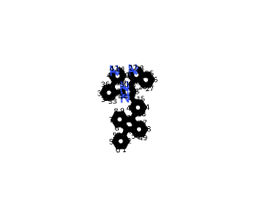 c1ccc(-c2c3ccccc3c(-c3cccc(-c4cc(-c5cncc6ccccc56)nc(-c5ccccc5-c5cccnc5)n4)c3)c3ccccc23)cc1